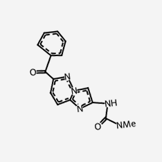 CNC(=O)Nc1cn2nc(C(=O)c3ccccc3)ccc2n1